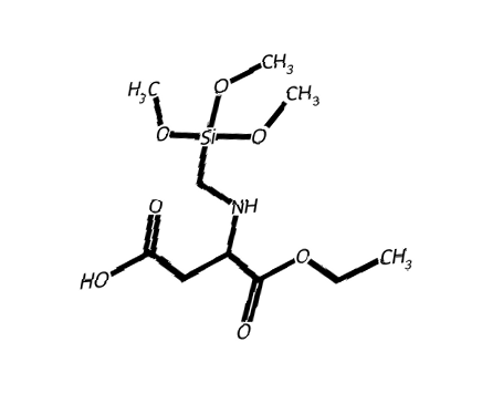 CCOC(=O)C(CC(=O)O)NC[Si](OC)(OC)OC